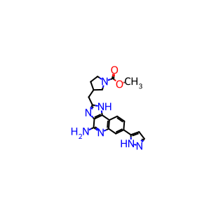 COC(=O)N1CCC(Cc2nc3c(N)nc4cc(-c5ccn[nH]5)ccc4c3[nH]2)C1